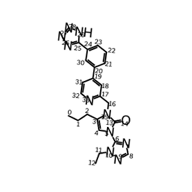 CCCc1cn(-c2ncnn2CC)c(=O)n1Cc1cc(-c2cccc(-c3nnn[nH]3)c2)ccn1